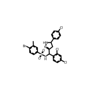 Cc1cc(S(=O)(=O)NC(C2=NNC(c3ccc(Cl)cc3)C2)c2ccc(Cl)cc2Cl)ccc1Br